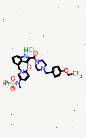 Cc1cccc2[nH]c(C(=O)N3CCN(Cc4ccc(OCC(F)(F)F)cc4)CC3)c(Oc3ccc(N(C)S(=O)(=O)C(C)C)cn3)c12.Cl